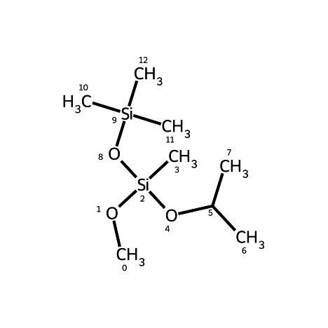 CO[Si](C)(OC(C)C)O[Si](C)(C)C